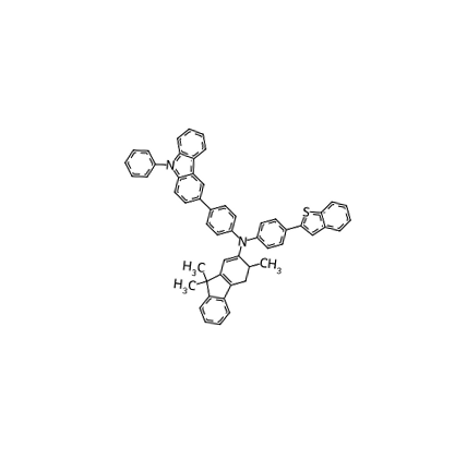 CC1CC2=C(C=C1N(c1ccc(-c3ccc4c(c3)c3ccccc3n4-c3ccccc3)cc1)c1ccc(-c3cc4ccccc4s3)cc1)C(C)(C)c1ccccc12